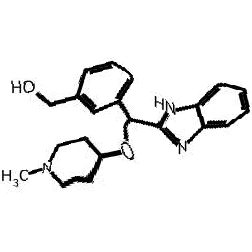 CN1CCC(OC(c2cccc(CO)c2)c2nc3ccccc3[nH]2)CC1